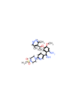 COc1cc(N)c(C(=N)c2ccc(N3CCN(S(C)(=O)=O)CC3)nc2)cc1O[C@H](C)c1c(C)cnnc1C